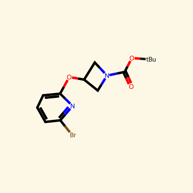 CC(C)(C)OC(=O)N1CC(Oc2cccc(Br)n2)C1